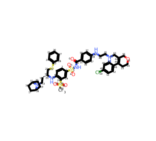 O=C(NS(=O)(=O)c1ccc(N[C@H](CCN2C3CCC2CC3)CSc2ccccc2)c(S(=O)(=O)C(F)(F)F)c1)c1ccc(NCCNCC2=C(c3ccc(Cl)cc3)CCOC2)cc1